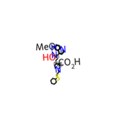 COc1ccc2nccc([C@H](CC[C@@H]3CCN(CCSC4CCCCC4)C[C@@H]3C(=O)O)NO)c2c1